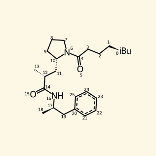 CC[C@H](C)CCCC(=O)N1CCC[C@H]1C[C@@H](C)C(=O)N[C@H](C)Cc1ccccc1